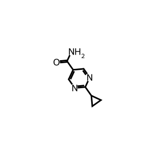 NC(=O)c1cnc(C2CC2)nc1